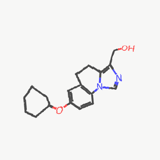 OCc1ncn2c1CCc1cc(OC3CCCCC3)ccc1-2